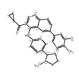 Cc1c(Cl)cc(-c2ccc3ncc(C(=O)C4CC4)c(Nc4ccc(C5CCCN5C)cn4)c3c2)cc1Cl